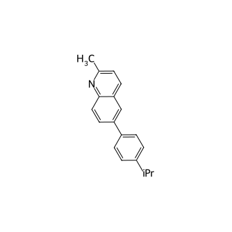 Cc1ccc2cc(-c3ccc(C(C)C)cc3)ccc2n1